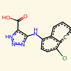 O=C(O)c1[nH]nnc1Nc1ccc(Cl)c2ccccc12